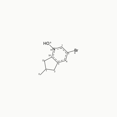 CC1Cc2cc(Br)c[n+](O)c2C1